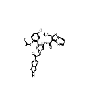 Nc1nn2cccnc2c1C(=O)Nc1cn(CC(=O)N2CC3CNCC3C2)nc1-c1cc(Cl)ccc1OC(F)F